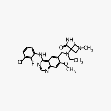 CCN(Cc1cc2c(Nc3cccc(Cl)c3F)ncnc2cc1OC)C1(C(N)=O)CN(C)C1